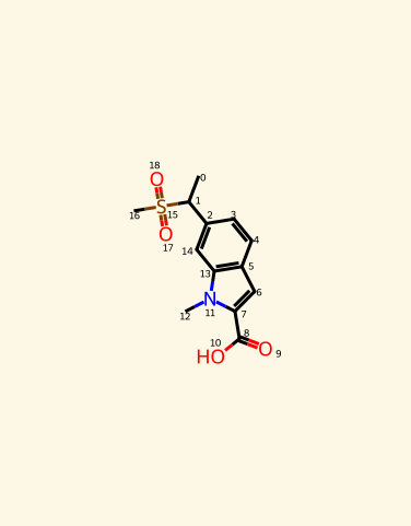 CC(c1ccc2cc(C(=O)O)n(C)c2c1)S(C)(=O)=O